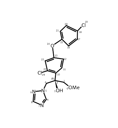 COC[C@](O)(Cn1cncn1)c1ccc(Oc2ccc(Cl)cc2)cc1Cl